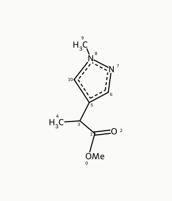 COC(=O)C(C)c1cnn(C)c1